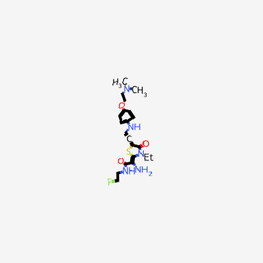 CCn1c(=O)c(=C=CNc2ccc(OCCN(C)C)cc2)s/c1=C(/N)C(=O)NCCF